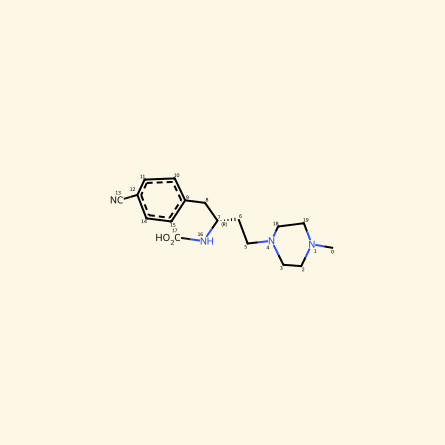 CN1CCN(CC[C@@H](Cc2ccc(C#N)cc2)NC(=O)O)CC1